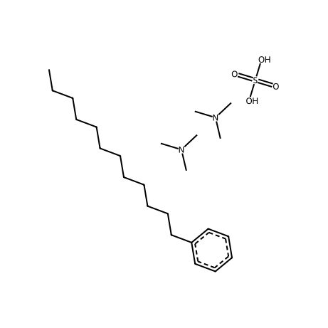 CCCCCCCCCCCCc1ccccc1.CN(C)C.CN(C)C.O=S(=O)(O)O